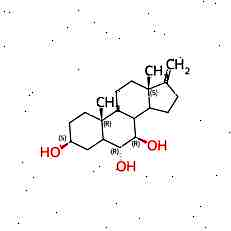 C=C1CCC2C3C(CC[C@]12C)[C@@]1(C)CC[C@H](O)CC1[C@@H](O)[C@@H]3O